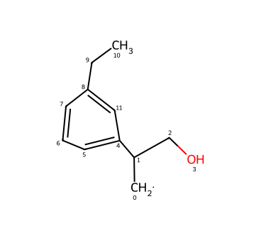 [CH2]C(CO)c1cccc(CC)c1